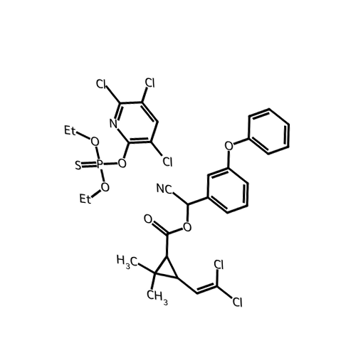 CC1(C)C(C=C(Cl)Cl)C1C(=O)OC(C#N)c1cccc(Oc2ccccc2)c1.CCOP(=S)(OCC)Oc1nc(Cl)c(Cl)cc1Cl